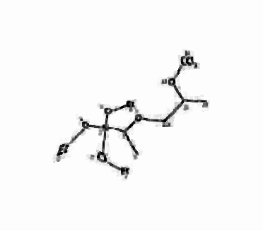 CCO[Si](OCC)(OCC)C(C)OCC(C)OC(Cl)(Cl)Cl